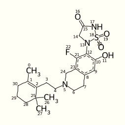 CC1=C(CCN2CCc3cc(O)c(N4CC(=O)NS4(=O)=O)c(F)c3C2)C(C)(C)CCC1